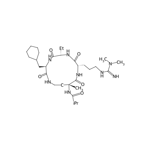 CC[C@@H]1NC(=O)[C@H](CCCNC(=N)N(C)C)NC(=O)[C@](C)(NC(=O)C(C)C)CCNC(=O)[C@@H](CC2CCCCC2)NC1=O